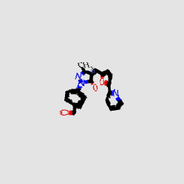 CC1=NN(c2ccc(C=O)cc2)C(=O)/C1=C\c1ccc(-c2ccccn2)o1